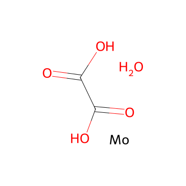 O.O=C(O)C(=O)O.[Mo]